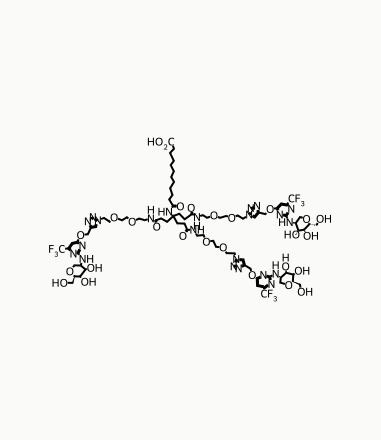 O=C(O)CCCCCCCCCCC(=O)NC(CCC(=O)NCCOCCOCCn1cc(COc2cc(C(F)(F)F)nc(NC3CO[C@H](CO)[C@H](O)[C@@H]3O)n2)nn1)(CCC(=O)NCCOCCOCCn1cc(COc2cc(C(F)(F)F)nc(N[C@H]3CO[C@H](CO)[C@H](O)[C@@H]3O)n2)nn1)CCC(=O)NCCOCCOCCn1cc(COc2cc(C(F)(F)F)nc(N[C@H]3CO[C@H](CO)C(O)[C@@H]3O)n2)nn1